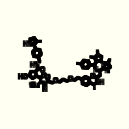 CC1=C(C)C2=C(C1)n1c(C)cnc1C(CC(=O)N[C@@H](C)c1ccc(CCOCCCOCC(=O)N[C@H](C(=O)C3CC(O)CC3C(=O)NCc3ccc(-c4[nH]ccc4C)cc3)C(C)(C)C)cc1)N=C2c1ccc(C)cc1